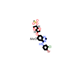 COc1cc2c(Nc3ccc(Br)c(Cl)c3)ncnc2cc1OC1CO[C@H]2[C@@H](OS(C)(=O)=O)CO[C@@H]12